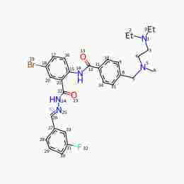 CCN(CC)CCN(C)Cc1ccc(C(=O)Nc2ccc(Br)cc2C(=O)N/N=C/c2cccc(F)c2)cc1